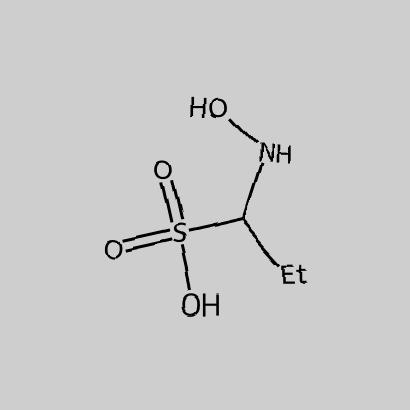 CCC(NO)S(=O)(=O)O